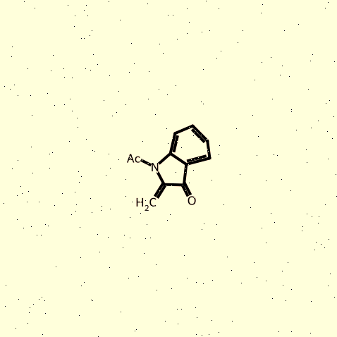 C=C1C(=O)c2ccccc2N1C(C)=O